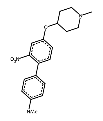 CNc1ccc(-c2ccc(OC3CCN(C)CC3)cc2[N+](=O)[O-])cc1